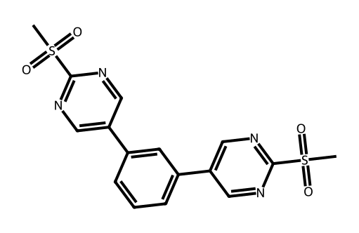 CS(=O)(=O)c1ncc(-c2cccc(-c3cnc(S(C)(=O)=O)nc3)c2)cn1